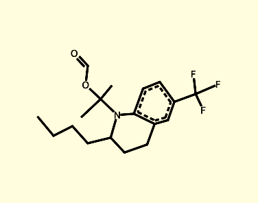 CCCCC1CCc2cc(C(F)(F)F)ccc2N1C(C)(C)OC=O